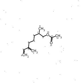 C=CC(=C)CCCC(C)COC(C)=O